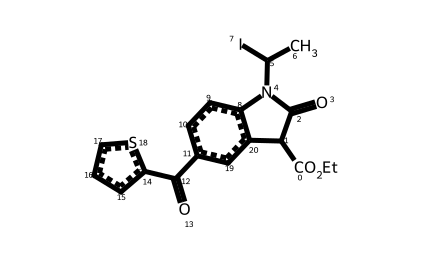 CCOC(=O)C1C(=O)N(C(C)I)c2ccc(C(=O)c3cccs3)cc21